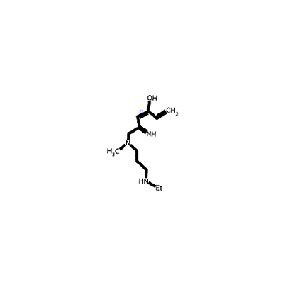 C=C/C(O)=C\C(=N)CN(C)CCCNCC